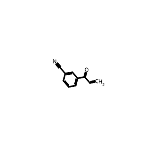 C=CC(=O)c1cccc(C#N)c1